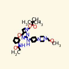 C=CC(=O)Nc1cccc(Oc2nc(Nc3ccc(N4CCN(CCOC)CC4)cc3)nc3c2ccn3COC(=O)C(C)(C)C)c1